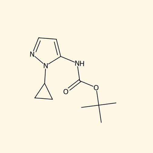 CC(C)(C)OC(=O)Nc1ccnn1C1CC1